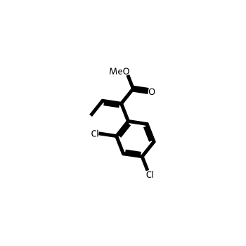 C/C=C(/C(=O)OC)c1ccc(Cl)cc1Cl